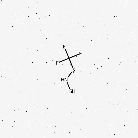 FC(F)(F)SNS